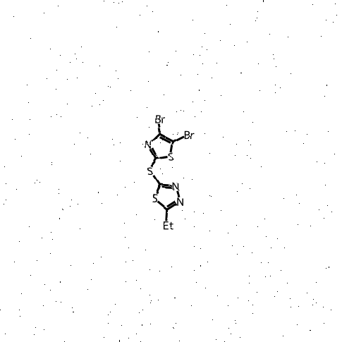 CCc1nnc(Sc2nc(Br)c(Br)s2)s1